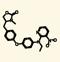 CCN(c1ccc(Oc2ccc(CC3COC(=O)N3C)cc2)cc1)c1ncccc1[N+](=O)[O-]